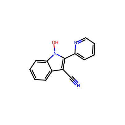 N#Cc1c(-c2ccccn2)n(O)c2ccccc12